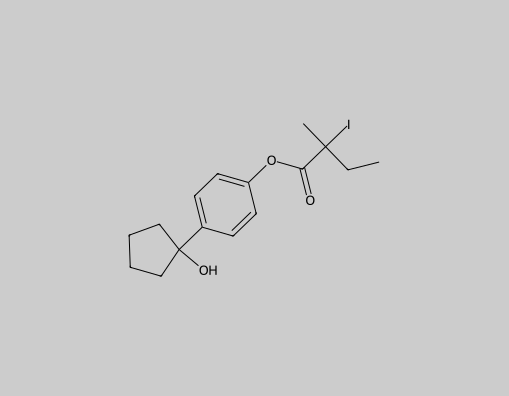 CCC(C)(I)C(=O)Oc1ccc(C2(O)CCCC2)cc1